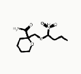 CCCC(O[CH]C1(C(N)=O)CCCCO1)[SH](=O)=O